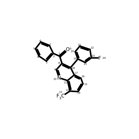 O=C(c1ccccc1)c1cnc2c(C(F)(F)F)cccc2c1-c1cccc(F)c1